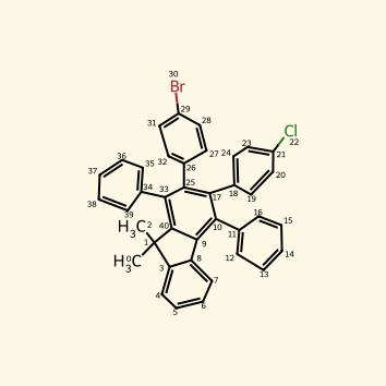 CC1(C)c2ccccc2-c2c(-c3ccccc3)c(-c3ccc(Cl)cc3)c(-c3ccc(Br)cc3)c(-c3ccccc3)c21